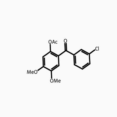 COc1cc(OC(C)=O)c(C(=O)c2cccc(Cl)c2)cc1OC